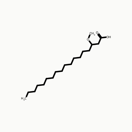 CCCCCCCCCCCCCCCC(CC(=O)O)OC